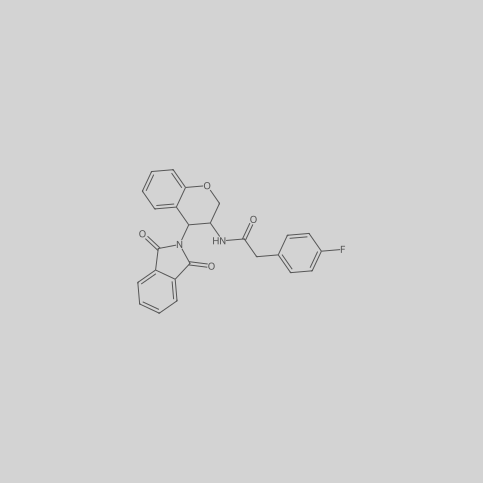 O=C(Cc1ccc(F)cc1)NC1COc2ccccc2C1N1C(=O)c2ccccc2C1=O